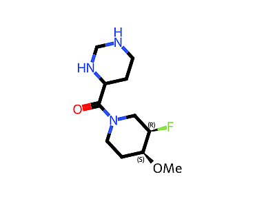 CO[C@H]1CCN(C(=O)C2CCNCN2)C[C@H]1F